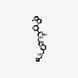 Cn1ccc2ccn(-c3cncc(/C(=C/NCc4cn5cc(CNCC67CC(C6)C7)ccc5n4)N=N)c3)c21